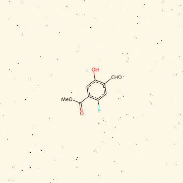 COC(=O)c1cc(O)c(C=O)cc1F